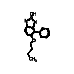 CCCCOc1ccc2nn(O)nc2c1-c1ccccc1